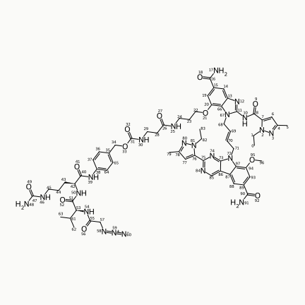 CCn1nc(C)cc1C(=O)Nc1nc2cc(C(N)=O)cc(OCCCNC(=O)CCNC(=O)OCc3ccc(NC(=O)[C@H](CCCNC(N)=O)NC(=O)[C@@H](NC(=O)CN=[N+]=[N-])C(C)C)cc3)c2n1C/C=C/Cn1c2nc(-c3cc(C)nn3CC)ncc2c2cc(C(N)=O)cc(OC)c21